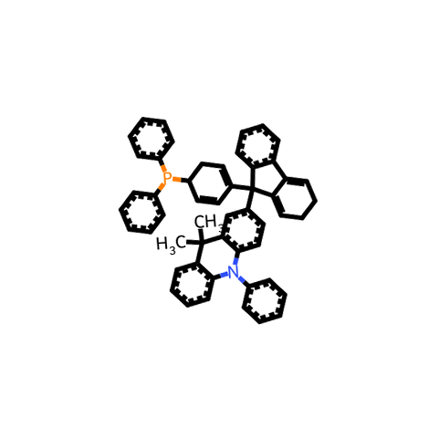 CC1(C)c2ccccc2N(c2ccccc2)c2ccc(C3(C4=CCC(P(c5ccccc5)c5ccccc5)C=C4)C4=CCCC=C4c4ccccc43)cc21